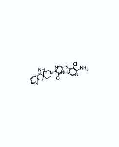 Nc1nccc(Sc2cnc(N3CCC4(CC3)Cc3ncccc3[C@H]4N)c(=O)[nH]2)c1Cl